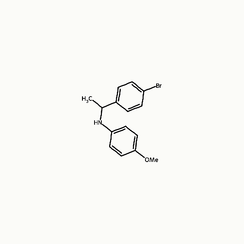 COc1ccc(NC(C)c2ccc(Br)cc2)cc1